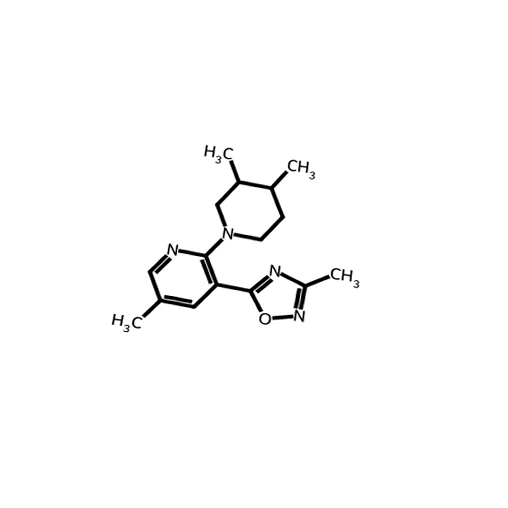 Cc1cnc(N2CCC(C)C(C)C2)c(-c2nc(C)no2)c1